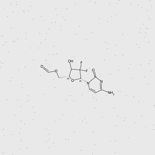 Nc1ccn([C@@H]2O[C@H](COC=O)C(O)C2(F)F)c(=O)n1